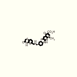 Cn1cc(C(=O)O)c(=O)c2cc(F)c(N[C@H]3CC[C@H](CNCc4ccc5c(n4)NC(=O)CS5)CC3)nc21